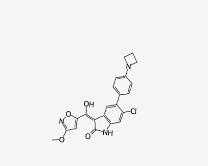 COc1cc(C(O)=C2C(=O)Nc3cc(Cl)c(-c4ccc(N5CCC5)cc4)cc32)on1